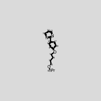 CCCOCCCCOc1ccc(-c2ncccn2)cc1